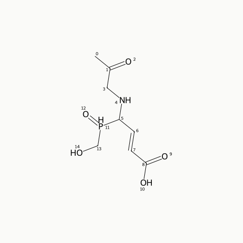 CC(=O)CNC(C=CC(=O)O)[PH](=O)CO